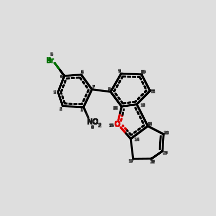 O=[N+]([O-])c1ccc(Br)cc1-c1cccc2c3c(oc12)CCC=C3